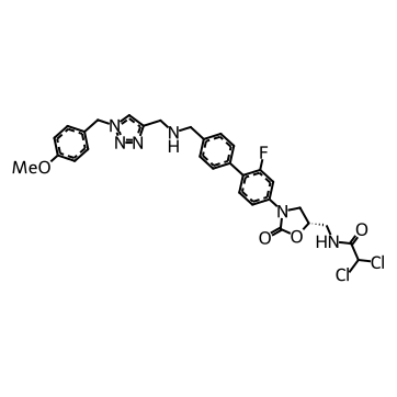 COc1ccc(Cn2cc(CNCc3ccc(-c4ccc(N5C[C@H](CNC(=O)C(Cl)Cl)OC5=O)cc4F)cc3)nn2)cc1